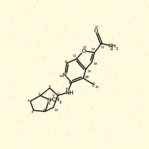 CN1C2CCC1CC(Nc1ncc3oc(C(N)=O)cc3c1F)C2